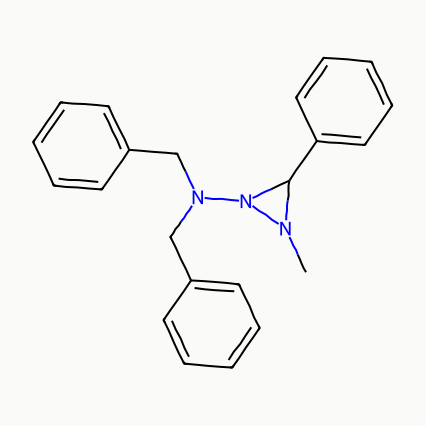 CN1C(c2ccccc2)N1N(Cc1ccccc1)Cc1ccccc1